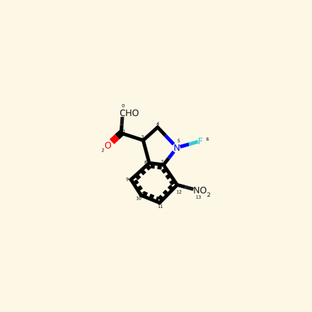 O=CC(=O)C1CN(F)c2c1cccc2[N+](=O)[O-]